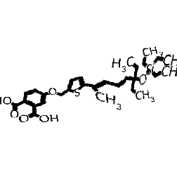 CCC(CC)(CCC=C(C)c1ccc(COc2ccc(C(=O)O)c(C(=O)O)c2)s1)O[Si](CC)(CC)CC